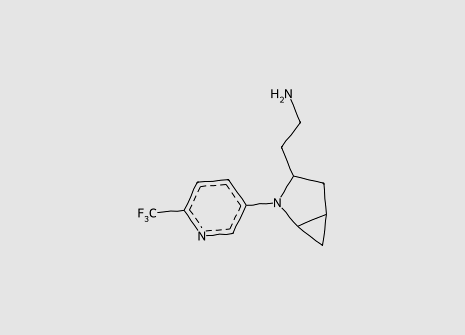 NCCC1CC2CC2N1c1ccc(C(F)(F)F)nc1